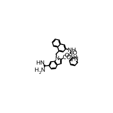 N=C(N)c1ccc2cc(C(=O)O)n(Cc3cc(NS(=O)(=O)c4ccccn4)cc4ccccc34)c2c1